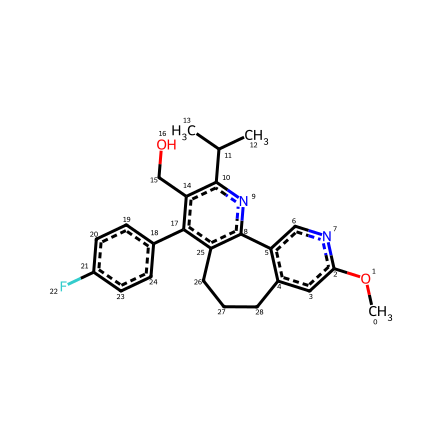 COc1cc2c(cn1)-c1nc(C(C)C)c(CO)c(-c3ccc(F)cc3)c1CCC2